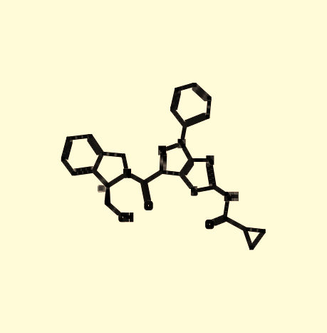 O=C(Nc1nc2c(s1)c(C(=O)N1Cc3ccccc3[C@@H]1CO)nn2-c1ccccc1)C1CC1